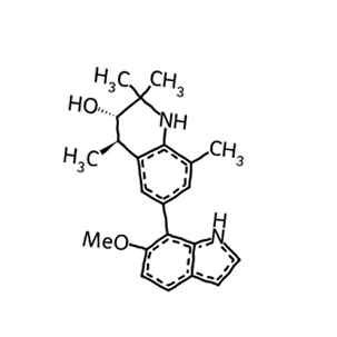 COc1ccc2cc[nH]c2c1-c1cc(C)c2c(c1)[C@@H](C)[C@H](O)C(C)(C)N2